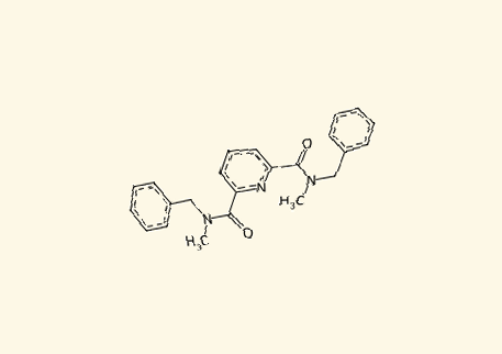 CN(Cc1ccccc1)C(=O)c1cccc(C(=O)N(C)Cc2ccccc2)n1